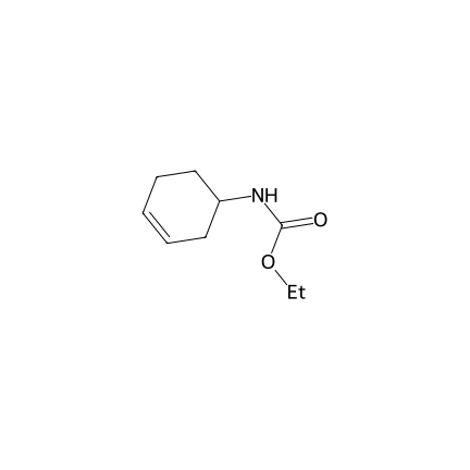 CCOC(=O)NC1CC=CCC1